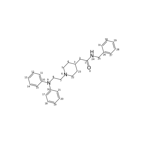 O=C(CC1CCN(CCN(c2ccccc2)c2ccccc2)CC1)NCc1ccccc1